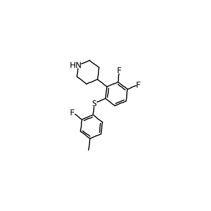 Cc1ccc(Sc2ccc(F)c(F)c2C2CCNCC2)c(F)c1